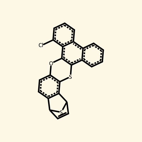 Clc1cccc2c1c1c(c3ccccc32)Sc2c(ccc3c2C2C=CC3S2)O1